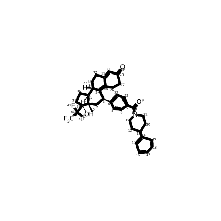 C[C@]12C[C@H](c3ccc(C(=O)N4CCC(c5ccccc5)CC4)cc3)C3=C4CCC(=O)C=C4CC[C@H]3[C@@H]1CC[C@]2(O)C(F)(F)C(F)(F)F